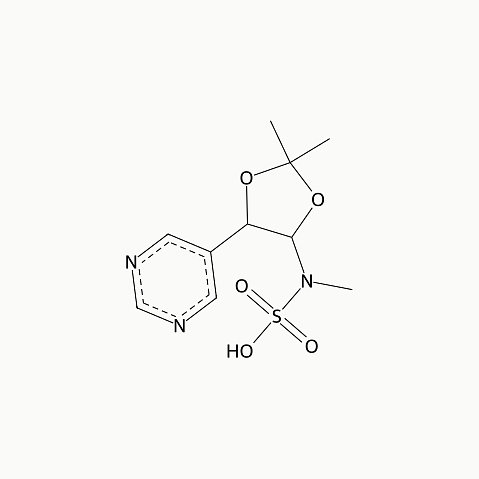 CN(C1OC(C)(C)OC1c1cncnc1)S(=O)(=O)O